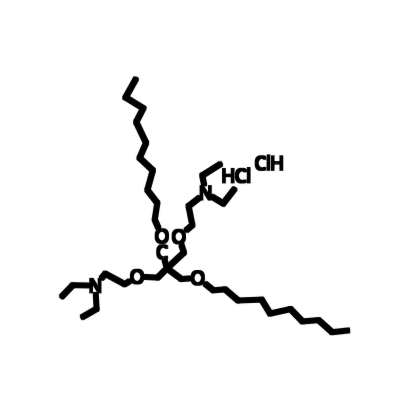 CCCCCCCCCCOCC(COCCCCCCCCCC)(COCCN(CC)CC)COCCN(CC)CC.Cl.Cl